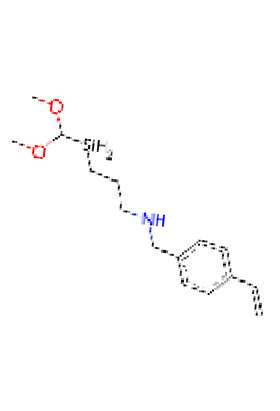 C=Cc1ccc(CNCCC[SiH2]C(OC)OC)cc1